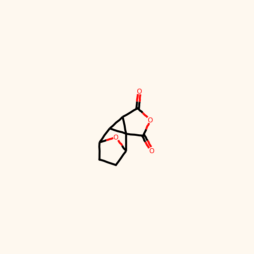 O=C1OC(=O)C23C4CCC(O4)C2C13